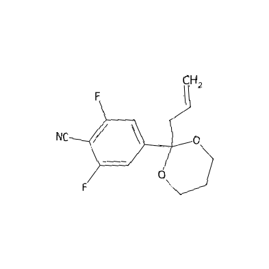 C=CCC1(c2cc(F)c(C#N)c(F)c2)OCCCO1